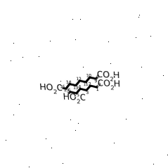 O=C(O)CCCCCCC(=O)O.O=C(O)CCCCCCCC(=O)O